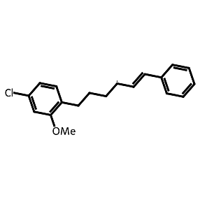 COc1cc(Cl)ccc1CCC[CH]C=Cc1ccccc1